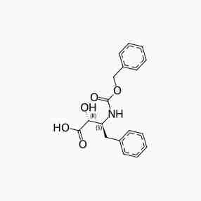 O=C(N[C@@H](Cc1ccccc1)[C@@H](O)C(=O)O)OCc1ccccc1